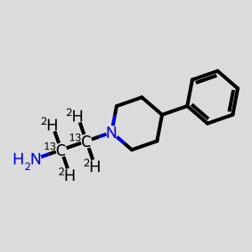 [2H][13C]([2H])(N)[13C]([2H])([2H])N1CCC(c2ccccc2)CC1